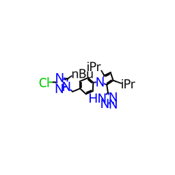 CCCCc1nc(Cl)nn1Cc1ccc(-n2c(C(C)C)cc(C(C)C)c2-c2nnn[nH]2)cc1